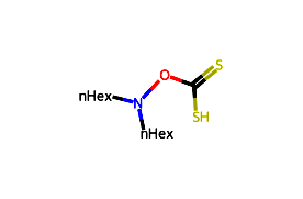 CCCCCCN(CCCCCC)OC(=S)S